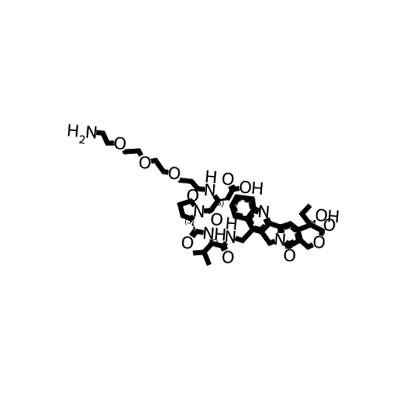 CC[C@@]1(O)C(=O)OCc2c1cc1n(c2=O)Cc2c-1nc1ccccc1c2CNC(=O)[C@@H](NC(=O)[C@@H]1CCCN1C(=O)[C@H](CC(=O)O)NC(=O)CCOCCOCCOCCN)C(C)C